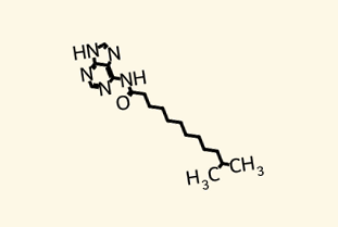 CC(C)CCCCCCCCCC(=O)Nc1ncnc2[nH]cnc12